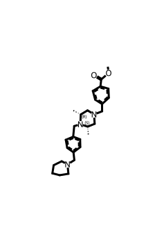 COC(=O)c1ccc(CN2C[C@@H](C)N(Cc3ccc(CN4CCCCC4)cc3)[C@@H](C)C2)cc1